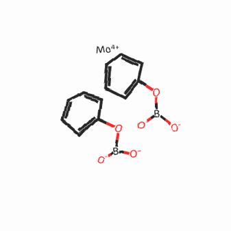 [Mo+4].[O-]B([O-])Oc1ccccc1.[O-]B([O-])Oc1ccccc1